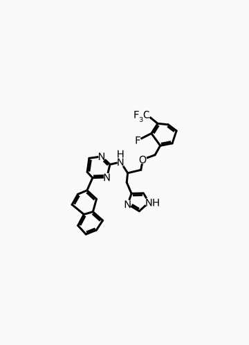 Fc1c(COCC(Cc2c[nH]cn2)Nc2nccc(-c3ccc4ccccc4c3)n2)cccc1C(F)(F)F